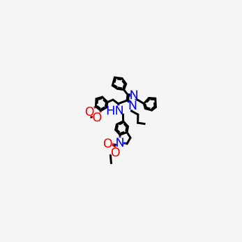 CCCCn1c(-c2ccccc2)nc(-c2ccccc2)c1C(Cc1ccc2c(c1)OCO2)NCc1ccc2c(c1)CCN2C(=O)OCC